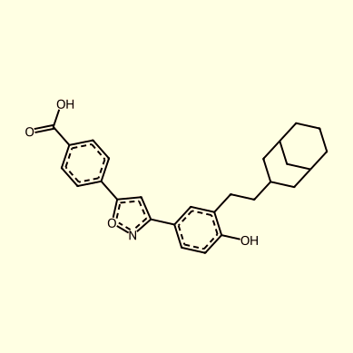 O=C(O)c1ccc(-c2cc(-c3ccc(O)c(CCC4CC5CCCC(C5)C4)c3)no2)cc1